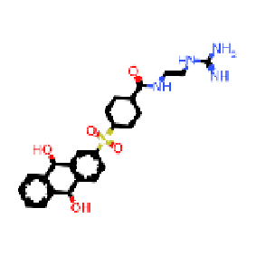 N=C(N)NCCNC(=O)C1CCC(S(=O)(=O)c2ccc3c(c2)C(O)c2ccccc2C3O)CC1